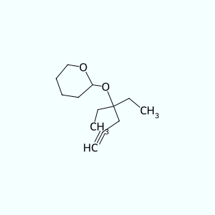 C#CCC(CC)(CC)OC1CCCCO1